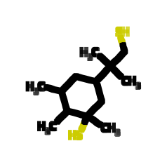 CC1CC(C(C)(C)CS)CC(C)(S)C1C